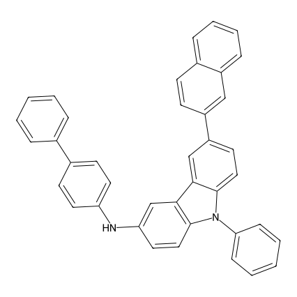 c1ccc(-c2ccc(Nc3ccc4c(c3)c3cc(-c5ccc6ccccc6c5)ccc3n4-c3ccccc3)cc2)cc1